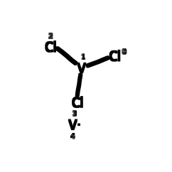 [Cl][V]([Cl])[Cl].[V]